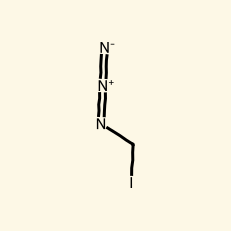 [N-]=[N+]=NCI